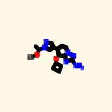 CCOC(C)n1cc(-c2ccn3nc(N)nc3c2OC2CCC2)cn1